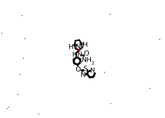 NC(=O)NC1C[C@H]2CC[C@@H](C1)N2CCc1ccc(Oc2nc3cccnc3s2)cc1